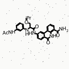 CC(=O)Nc1cccc(NC(COC(C)C)C(=O)Nc2ccc3c(=O)[nH]c4c(C(N)=O)cccc4c3c2)c1